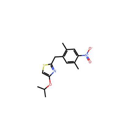 Cc1cc([N+](=O)[O-])c(C)cc1Cc1nc(OC(C)C)cs1